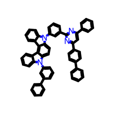 c1ccc(-c2ccc(-c3cc(-c4ccccc4)nc(-c4cccc(-n5c6ccccc6c6c7c8ccccc8n(-c8cccc(-c9ccccc9)c8)c7ccc65)c4)n3)cc2)cc1